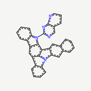 c1ccc2cc3c(cc2c1)c1c2c(cc4c5ccccc5n3c41)c1ccccc1n2-c1ncc2cccnc2n1